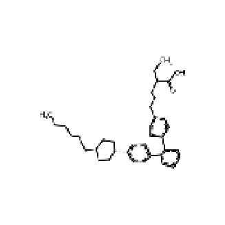 CCCCCC[C@H]1CC[C@H](c2ccc(-c3ccccc3-c3ccc(CCCC(CC)C(=O)O)cc3)cc2)CC1